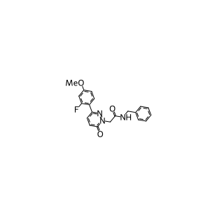 COc1ccc(-c2ccc(=O)n(CC(=O)NCc3ccccc3)n2)c(F)c1